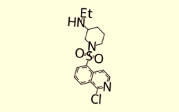 CCNC1CCCN(S(=O)(=O)c2cccc3c(Cl)nccc23)C1